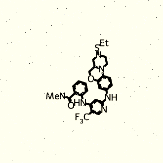 CCSN1CCN2c3ccc(Nc4cc(Nc5ccccc5C(=O)NC)c(C(F)(F)F)cn4)cc3OCC2C1